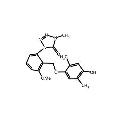 COc1cccc(-n2nnn(C)c2=O)c1COc1cc(C)c(O)cc1C